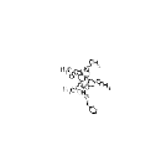 C=CCN1CC[C@@]2(c3cccc(OC)c3)C[C@@H](N(CC(C)C)C(=O)CCCCCc3ccccc3)CC(OC(C)=O)[C@@H]2C1